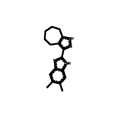 Cc1cc2nc(-c3n[nH]c4c3CCCCC4)[nH]c2cc1C